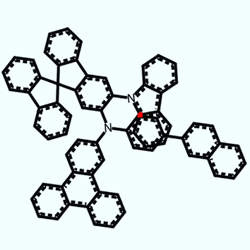 c1ccc2c(c1)-c1ccccc1C21c2ccccc2-c2cc(-n3c4ccccc4c4ccccc43)c(N(c3ccc(-c4ccc5ccccc5c4)cc3)c3ccc4c5ccccc5c5ccccc5c4c3)cc21